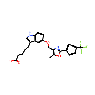 Cc1oc(-c2ccc(C(F)(F)F)cc2)nc1COc1ccc2[nH]cc(CCCCC(=O)O)c2c1